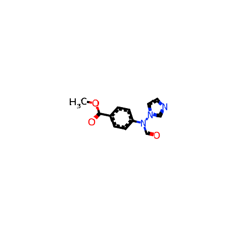 COC(=O)c1ccc(N(C=O)n2ccnc2)cc1